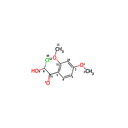 COc1ccc(C(=O)C(O)Cl)c(OC)c1